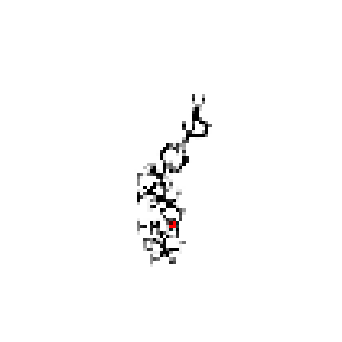 O=C1CCC(N2CCN(S(=O)(=O)C(F)(F)C(F)(F)C(F)(F)S(=O)(=O)NS(=O)(=O)C(F)(F)F)CC2)O1